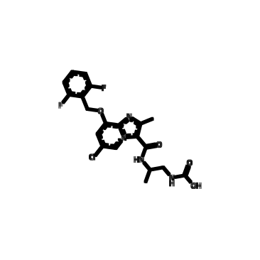 Cc1nc2c(OCc3c(F)cccc3F)cc(Cl)cn2c1C(=O)NC(C)CNC(=O)O